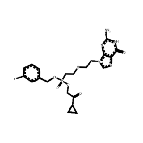 Nc1nc2c(ncn2CCOCCP(=O)(OCC(=O)C2CC2)OCc2cccc(F)c2)c(=O)[nH]1